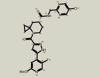 COc1cc(-c2cc(C(=O)N3CC[C@@H](C(=O)NCc4ncc(Cl)cn4)CC34CC4)n[nH]2)c(F)cn1